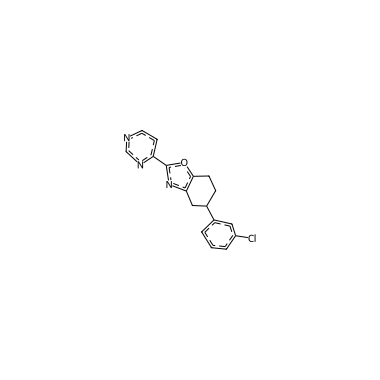 Clc1cccc(C2CCc3oc(-c4ccncn4)nc3C2)c1